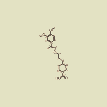 COc1ccc(C(C)=NOCCOC2CCN(C(=O)O)CC2)cc1OC